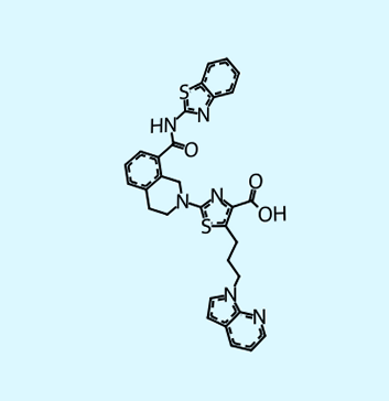 O=C(Nc1nc2ccccc2s1)c1cccc2c1CN(c1nc(C(=O)O)c(CCCn3ccc4cccnc43)s1)CC2